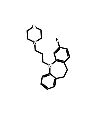 Fc1ccc2c(c1)N(CCCN1CCOCC1)c1ccccc1CC2